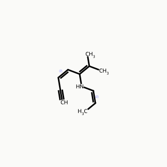 C#C/C=C\C(N/C=C\C)=C(C)C